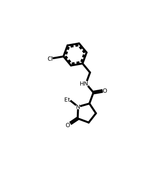 CCN1C(=O)CCC1C(=O)NCc1cccc(Cl)c1